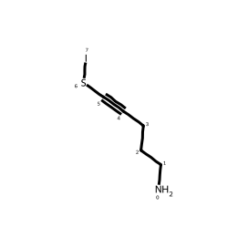 NCCCC#CSI